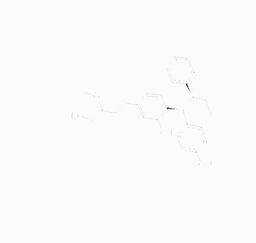 CCOC(COC1=CC(C)C([C@@H]2c3ccc(O)cc3CC[C@@H]2c2ccccc2)C=C1)OCC